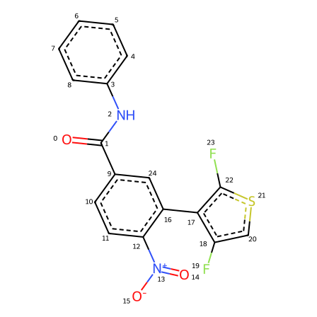 O=C(Nc1ccccc1)c1ccc([N+](=O)[O-])c(-c2c(F)csc2F)c1